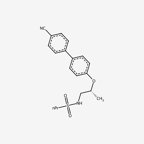 CCCS(=O)(=O)NC[C@@H](C)Oc1ccc(-c2ccc(C#N)cc2)cc1